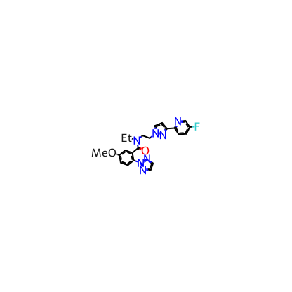 CCN(CCn1ccc(-c2ccc(F)cn2)n1)C(=O)c1cc(OC)ccc1-n1nccn1